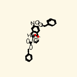 O=C(OCc1ccccc1)N1CC[C@@]23CCCC[C@@H]2[C@@H]1Cc1cc([N+](=O)[O-])c(OCc2ccccc2)cc13